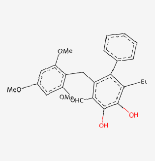 CCc1c(O)c(O)c(C=O)c(Cc2c(OC)cc(OC)cc2OC)c1-c1ccccc1